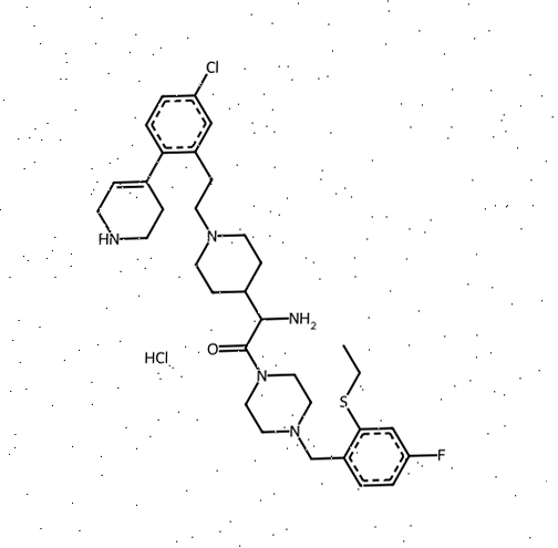 CCSc1cc(F)ccc1CN1CCN(C(=O)C(N)C2CCN(CCc3cc(Cl)ccc3C3=CCNCC3)CC2)CC1.Cl